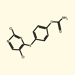 NC(=O)Oc1ccc(Sc2nc(Cl)ncc2Cl)cc1